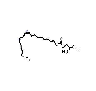 CCCCC/C=C\C/C=C\CCCCCCCCOC(=O)OCC(C)C